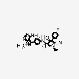 Cn1cc(-c2ccc(NC(=O)c3cn(C4CC4)c(C#N)c(-c4ccc(F)cc4)c3=O)cc2)c2c(N)ncnc21